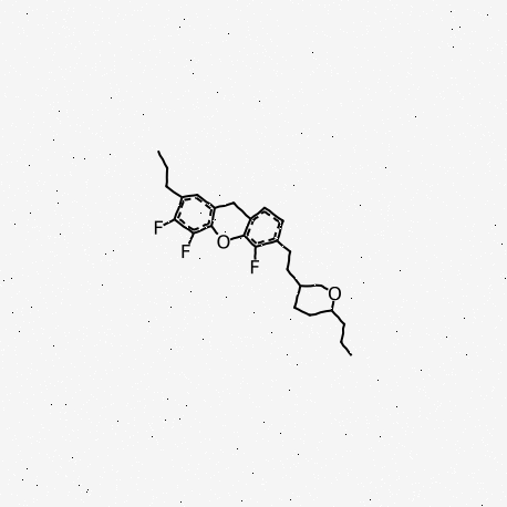 CCCc1cc2c(c(F)c1F)Oc1c(ccc(CCC3CCC(CCC)OC3)c1F)C2